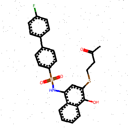 CC(=O)CCSc1cc(NS(=O)(=O)c2ccc(-c3ccc(F)cc3)cc2)c2ccccc2c1O